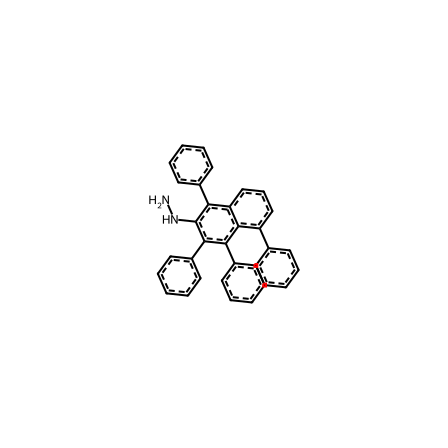 NNc1c(-c2ccccc2)c(-c2ccccc2)c2c(-c3ccccc3)cccc2c1-c1ccccc1